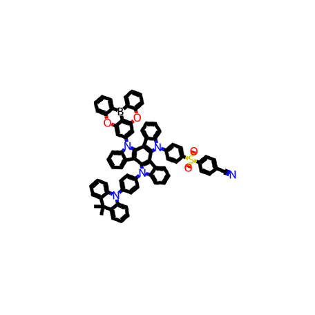 CC1(C)c2ccccc2N(c2ccc(-n3c4ccccc4c4c3c3c5ccccc5n(-c5cc6c7c(c5)Oc5ccccc5B7c5ccccc5O6)c3c3c5ccccc5n(-c5ccc(S(=O)(=O)c6ccc(C#N)cc6)cc5)c43)cc2)c2ccccc21